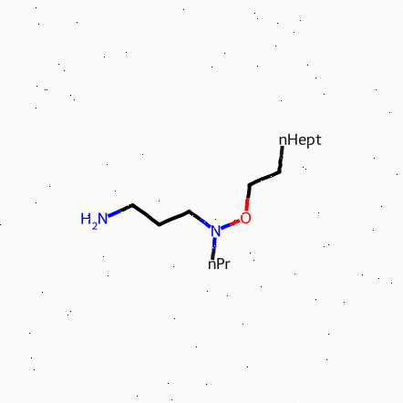 CCCCCCCCCON(CCC)CCCN